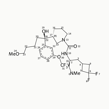 CNC[C@H](CC1CC(F)(F)C1)NC(=O)N1CCC[C@@H]([C@@](O)(CCCCOC)c2cccc(OC(F)(F)F)c2)C1